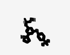 C[C@@H](CO)Oc1cc(Oc2ccc(S(C)(=O)=O)cc2)cc(-c2ccc[nH]2)c1